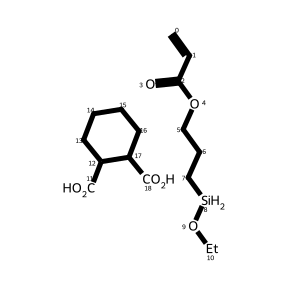 C=CC(=O)OCCC[SiH2]OCC.O=C(O)C1CCCCC1C(=O)O